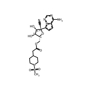 CS(=O)(=O)N1CCC(CC(=O)OC[C@H]2O[C@@](C#N)(c3ccc4c(N)ncnn34)[C@H](O)[C@@H]2O)CC1